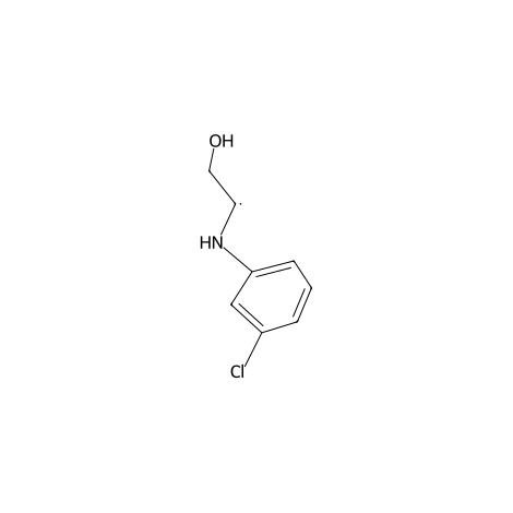 OC[CH]Nc1cccc(Cl)c1